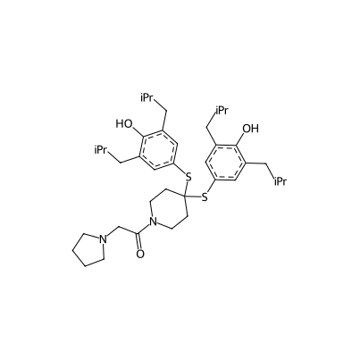 CC(C)Cc1cc(SC2(Sc3cc(CC(C)C)c(O)c(CC(C)C)c3)CCN(C(=O)CN3CCCC3)CC2)cc(CC(C)C)c1O